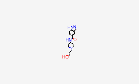 O=C(NC1CCN(CCCO)CC1)c1ccc2[nH]ncc2c1